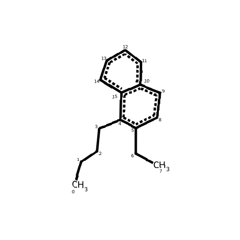 CCCCc1c(CC)ccc2ccccc12